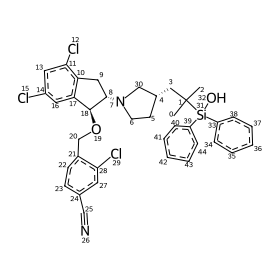 CC(C)(C[C@@H]1CCN([C@H]2Cc3c(Cl)cc(Cl)cc3[C@@H]2OCc2ccc(C#N)cc2Cl)C1)[Si](O)(c1ccccc1)c1ccccc1